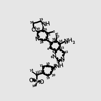 Cc1c(-c2cc3nc(Nc4ccc([C@H](C)S(C)(=O)=O)cc4)ncc3c(N)c2F)cnc2c1NCCO2